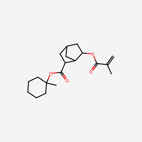 C=C(C)C(=O)OC1CC2CC(C(=O)OC3(C)CCCCC3)C1C2